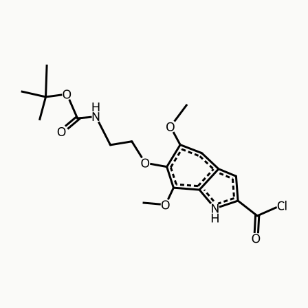 COc1cc2cc(C(=O)Cl)[nH]c2c(OC)c1OCCNC(=O)OC(C)(C)C